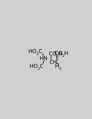 CC(=O)O.CC(=O)O.O=C(O)NC(=O)O